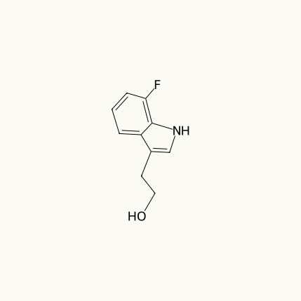 OCCc1c[nH]c2c(F)cccc12